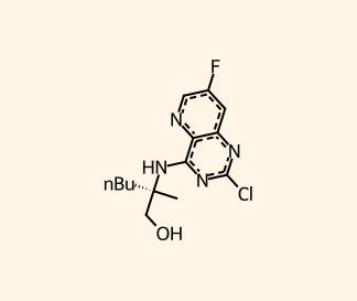 CCCC[C@](C)(CO)Nc1nc(Cl)nc2cc(F)cnc12